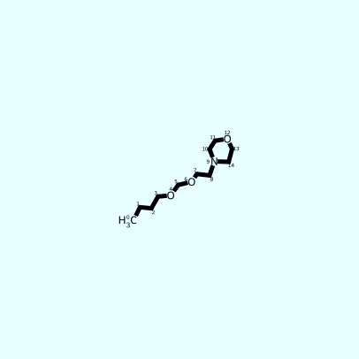 CCCCOCOCCN1CCOCC1